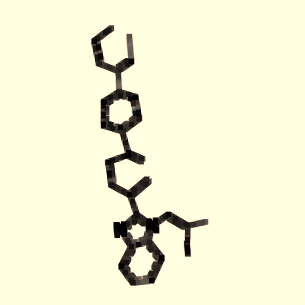 C=C(/C=C\C(=C)c1nc2ccccc2n1/C=C(/C)I)c1ccc(C(/C=C\C)=C/C)cc1